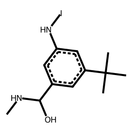 CNC(O)c1cc(NI)cc(C(C)(C)C)c1